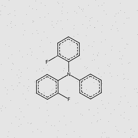 Fc1ccccc1N(c1ccccc1)c1ccccc1F